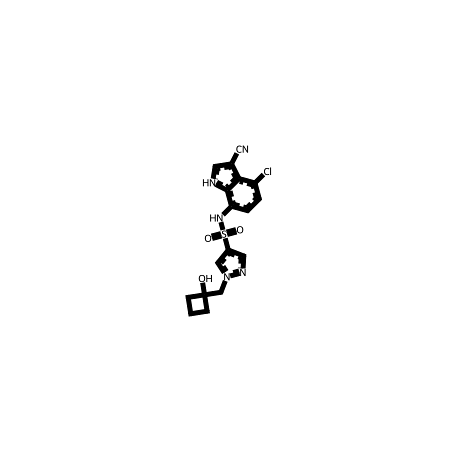 N#Cc1c[nH]c2c(NS(=O)(=O)c3cnn(CC4(O)CCC4)c3)ccc(Cl)c12